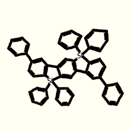 c1ccc(-c2ccc3c(c2)-c2cc4c(cc2[Si]3(c2ccccc2)c2ccccc2)-c2cc(-c3ccccc3)ccc2[Si]4(c2ccccc2)c2ccccc2)cc1